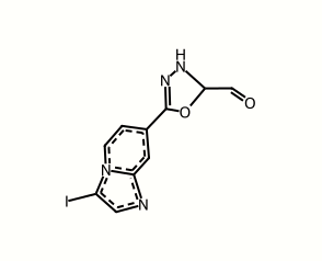 O=CC1NN=C(c2ccn3c(I)cnc3c2)O1